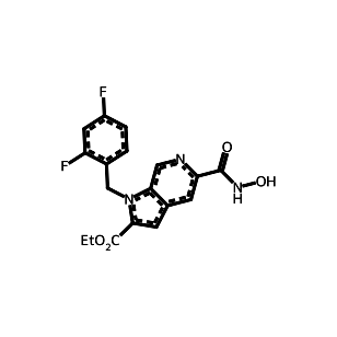 CCOC(=O)c1cc2cc(C(=O)NO)ncc2n1Cc1ccc(F)cc1F